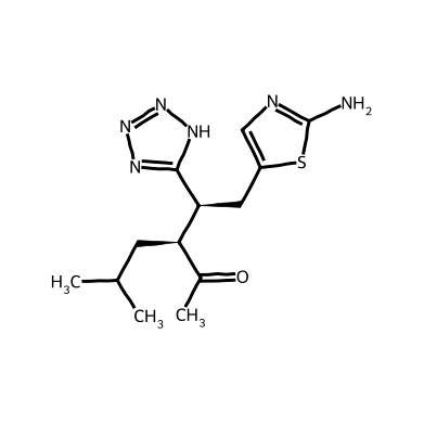 CC(=O)[C@@H](CC(C)C)[C@H](Cc1cnc(N)s1)c1nnn[nH]1